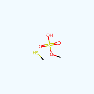 COS(=O)(=O)O.CS